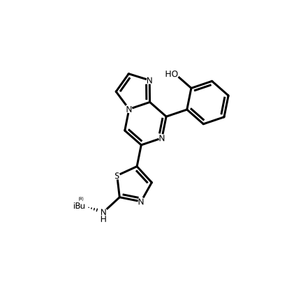 CC[C@@H](C)Nc1ncc(-c2cn3ccnc3c(-c3ccccc3O)n2)s1